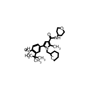 Cc1c(C(=O)NC2CCOCC2)cc(-c2ccc([SH](=O)=O)c(C(C)(C)C)c2)n1CC1CCCCC1